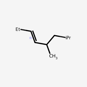 [CH2]C(C)CC(C)/C=C/CC